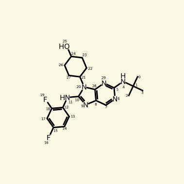 CC(C)(C)Nc1ncc2nc(Nc3ccc(F)cc3F)n(C3CCC(O)CC3)c2n1